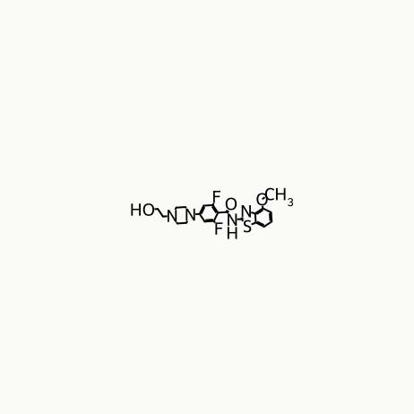 COc1cccc2sc(NC(=O)c3c(F)cc(N4CCN(CCO)CC4)cc3F)nc12